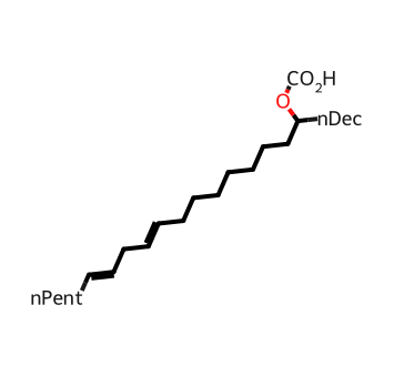 CCCCCC=CCC=CCCCCCCCC(CCCCCCCCCC)OC(=O)O